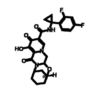 O=C(NC1(c2ccc(F)cc2F)CC1)c1cn2c(c(O)c1=O)C(=O)N1C3CCC[C@H](C3)OC1C2